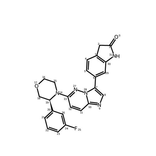 O=C1Cc2ccc(-c3cnc4ccc(N5CCOC[C@@H]5c5cccc(F)c5)nn34)cc2N1